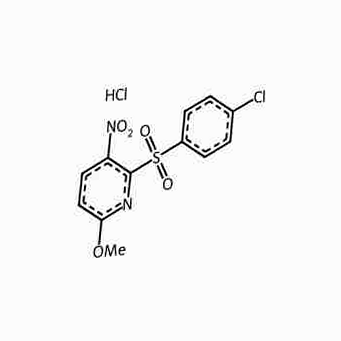 COc1ccc([N+](=O)[O-])c(S(=O)(=O)c2ccc(Cl)cc2)n1.Cl